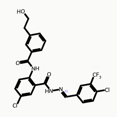 O=C(Nc1ccc(Cl)cc1C(=O)N/N=C/c1ccc(Cl)c(C(F)(F)F)c1)c1cccc(CCO)c1